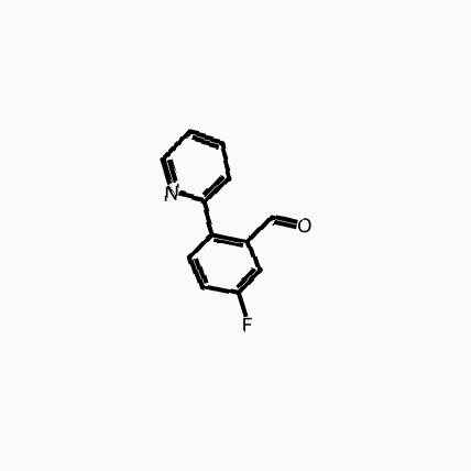 O=Cc1cc(F)ccc1-c1ccccn1